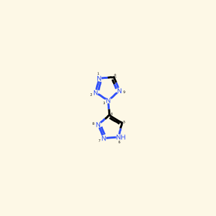 [c]1nnn(-c2c[nH]nn2)n1